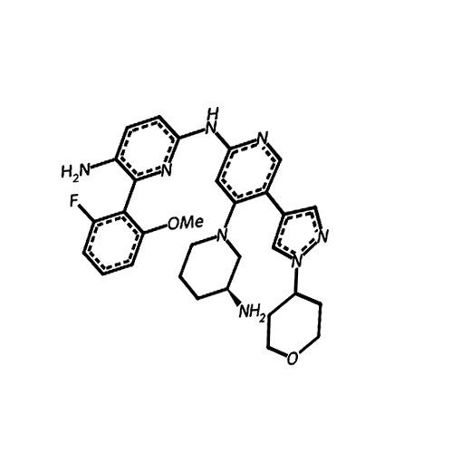 COc1cccc(F)c1-c1nc(Nc2cc(N3CCC[C@H](N)C3)c(-c3cnn(C4CCOCC4)c3)cn2)ccc1N